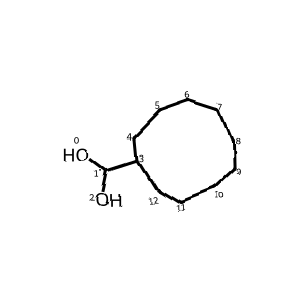 O[C](O)C1CCCCCCCCC1